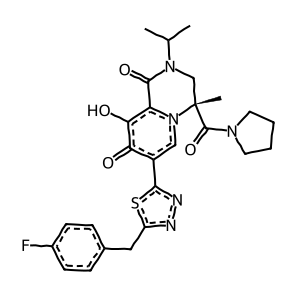 CC(C)N1C[C@](C)(C(=O)N2CCCC2)n2cc(-c3nnc(Cc4ccc(F)cc4)s3)c(=O)c(O)c2C1=O